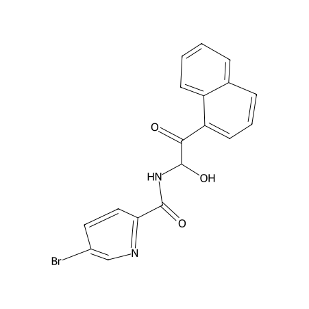 O=C(NC(O)C(=O)c1cccc2ccccc12)c1ccc(Br)cn1